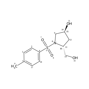 Cc1ccc(S(=O)(=O)N2C[C@@H](O)C[C@@H]2CO)cc1